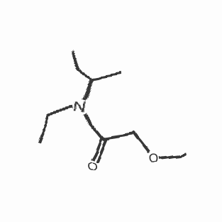 CCN(C(=O)COC)C(C)C